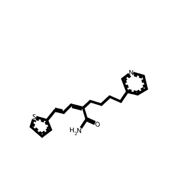 NC(=O)C(=CC=Cc1cccs1)CCCCc1cccnc1